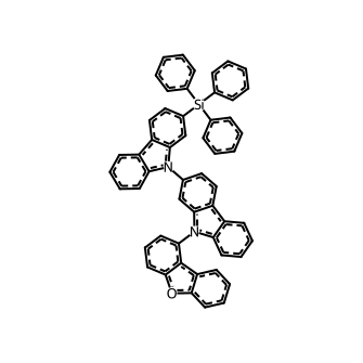 c1ccc([Si](c2ccccc2)(c2ccccc2)c2ccc3c4ccccc4n(-c4ccc5c6ccccc6n(-c6cccc7oc8ccccc8c67)c5c4)c3c2)cc1